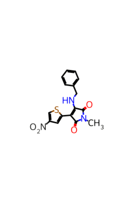 CN1C(=O)C(NCc2ccccc2)=C(c2cc([N+](=O)[O-])cs2)C1=O